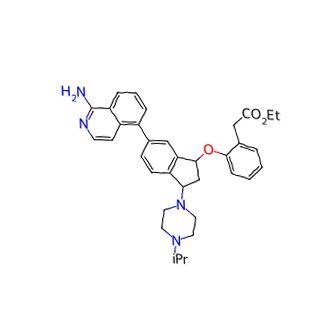 CCOC(=O)Cc1ccccc1OC1CC(N2CCN(C(C)C)CC2)c2ccc(-c3cccc4c(N)nccc34)cc21